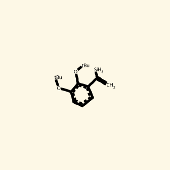 C=C([SiH3])c1cccc(OC(C)(C)C)c1OC(C)(C)C